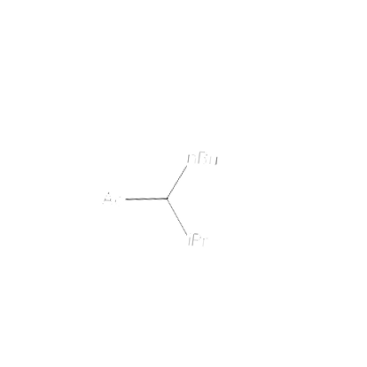 CCCCC(C(C)=O)C(C)C